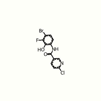 O=C(Nc1ccc(Br)c(F)c1O)c1ccc(Cl)nc1